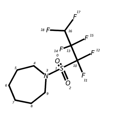 O=S(=O)(N1CCCCCC1)C(F)(F)C(F)(F)C(F)F